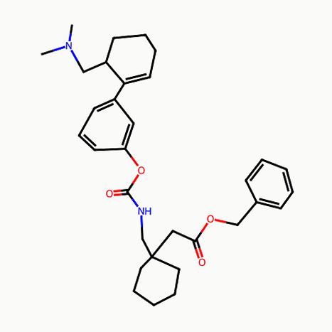 CN(C)CC1CCCC=C1c1cccc(OC(=O)NCC2(CC(=O)OCc3ccccc3)CCCCC2)c1